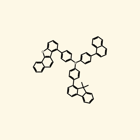 CC1(C)c2ccccc2-c2cccc(-c3ccc(N(c4ccc(-c5cccc6ccccc56)cc4)c4ccc(-c5cccc6oc7c8ccccc8ccc7c56)cc4)cc3)c21